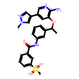 CC(Oc1cc(-c2cnn(C)c2)cnc1N)c1cccc(NC(=O)c2cccc(S(C)(=O)=O)c2)c1